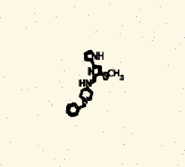 COC1=CC(c2ccc[nH]2)=N/C1=C\NC1CCN(Cc2ccccc2)CC1